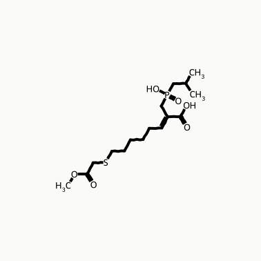 COC(=O)CSCCCCCC=C(CP(=O)(O)CC(C)C)C(=O)O